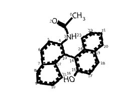 CC(=O)Nc1ccc2ccccc2c1-c1c(O)ccc2ccccc12